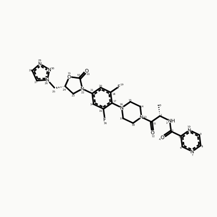 C[C@H](NC(=O)c1cnccn1)C(=O)N1CCN(c2c(F)cc(N3C[C@H](Cn4ccnn4)OC3=O)cc2F)CC1